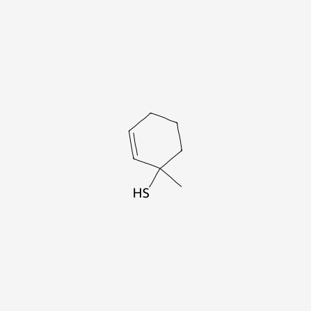 CC1(S)C=CCCC1